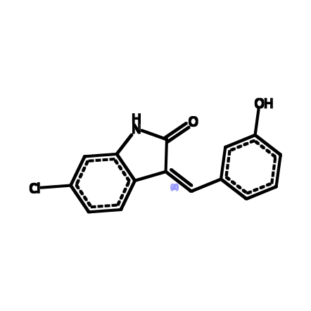 O=C1Nc2cc(Cl)ccc2/C1=C/c1cccc(O)c1